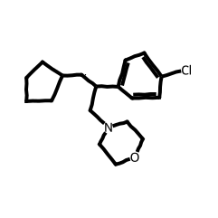 Clc1ccc(C([CH]C2CCCC2)CN2CCOCC2)cc1